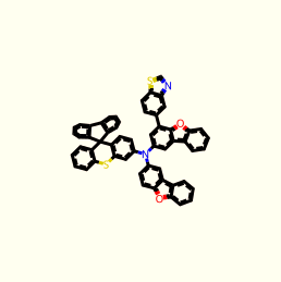 c1ccc2c(c1)Sc1cc(N(c3ccc4oc5ccccc5c4c3)c3cc(-c4ccc5scnc5c4)c4oc5ccccc5c4c3)ccc1C21c2ccccc2-c2ccccc21